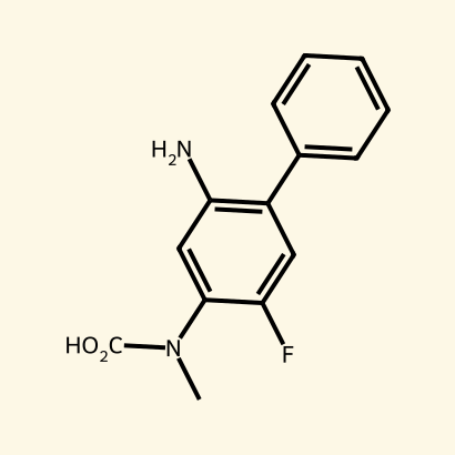 CN(C(=O)O)c1cc(N)c(-c2ccccc2)cc1F